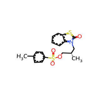 Cc1ccc(S(=O)(=O)OC[C@@H](C)Cn2c(=O)sc3ccccc32)cc1